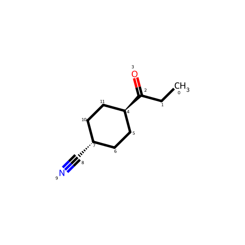 CCC(=O)[C@H]1CC[C@H](C#N)CC1